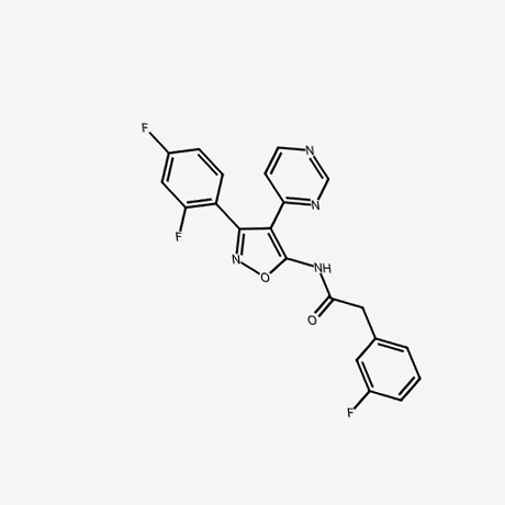 O=C(Cc1cccc(F)c1)Nc1onc(-c2ccc(F)cc2F)c1-c1ccncn1